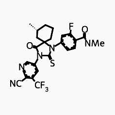 CNC(=O)c1ccc(N2C(=S)N(c3cnc(C#N)c(C(F)(F)F)c3)C(=O)C23CCC[C@@H](C)C3)cc1F